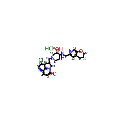 Cl.O=c1ccc2ncc(Cl)c3c2n1CC3CN1CC[C@H](NCc2cc3c(cn2)OCCC3)[C@H](O)C1